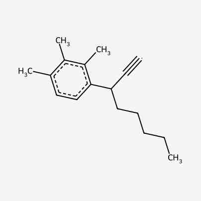 [C]#CC(CCCCC)c1ccc(C)c(C)c1C